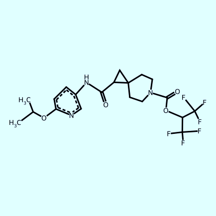 CC(C)Oc1ccc(NC(=O)C2CC23CCN(C(=O)OC(C(F)(F)F)C(F)(F)F)CC3)cn1